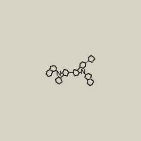 c1ccc(-c2ccc3c4cc(-c5ccc6c(c5)c5ccccc5n6-c5cccc6ccccc56)ccc4n(-c4ccc5ccccc5c4)c3c2)cc1